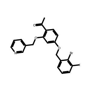 CC(=O)c1ccc(OCc2cccc(I)c2Br)cc1OCc1cccnc1